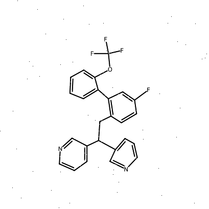 Fc1ccc(CC(c2cccnc2)c2cccnc2)c(-c2ccccc2OC(F)(F)F)c1